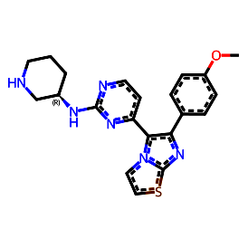 COc1ccc(-c2nc3sccn3c2-c2ccnc(N[C@@H]3CCCNC3)n2)cc1